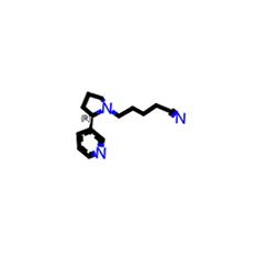 N#CCCCCN1CCC[C@@H]1c1cccnc1